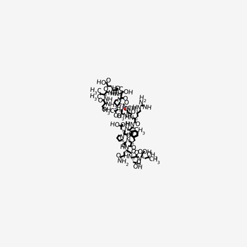 CC(C)C[C@H](NC(=O)[C@H](CC(=O)O)NC(=O)[C@H](CCC(N)=O)NC(=O)[C@H](Cc1ccccc1)NC(=O)[C@@H]1CCCN1C(=O)[C@H](CC(=O)O)NC(=O)[C@H](C)NC(=O)[C@H](CCCNC(=N)N)NC(=O)[C@@H](NC(=O)[C@H](CC(C)C)NC(=O)[C@@H]1CCCN1C(=O)[C@@H](NC(=O)[C@H](CCC(=O)O)NC(=O)[C@@H](NC(=O)[C@@H](N)CO)C(C)C)[C@@H](C)O)C(C)C)C(=O)O